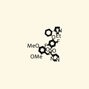 CCn1nccc1[C@H]1CCCC[C@@H]1Oc1cc(F)c(S(=O)(=O)N(Cc2ccc(OC)cc2OC)c2ccncn2)cc1F